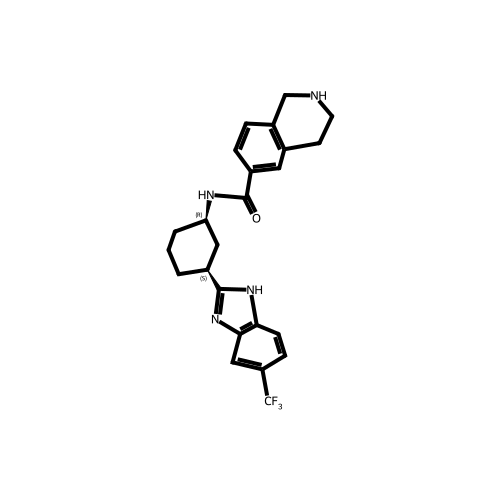 O=C(N[C@@H]1CCC[C@H](c2nc3cc(C(F)(F)F)ccc3[nH]2)C1)c1ccc2c(c1)CCNC2